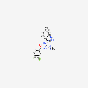 CCC(C)N/C(=N/C(=O)c1ccc(F)c(F)c1)Nc1[nH]nc2cc(C(F)(F)F)ccc12